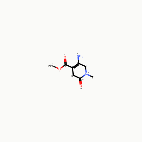 CCCOC(=O)C1=C(N)CN(C)C(=O)C1